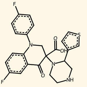 O=C(O)C1(N2CCNCC2c2ccsc2)CN(c2ccc(F)cc2)c2ccc(F)cc2C1=O